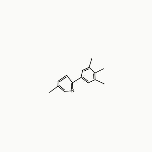 Cc1ccc(-c2cc(C)c(C)c(C)c2)nc1